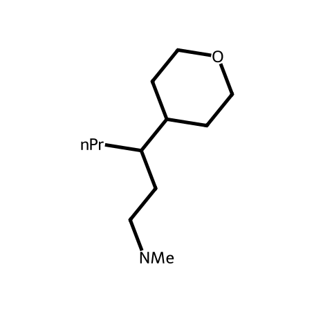 CCCC(CCNC)C1CCOCC1